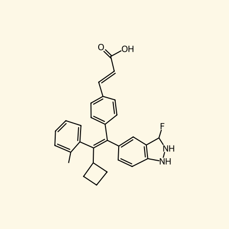 Cc1ccccc1/C(=C(\c1ccc(/C=C/C(=O)O)cc1)c1ccc2c(c1)C(F)NN2)C1CCC1